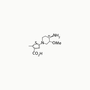 COC1CN(c2cc(C(=O)O)c(C)s2)CC[C@H]1N